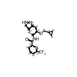 O=C(Nc1cc2c[nH]nc2cc1OCC1CC1)c1cccc(C(F)(F)F)n1